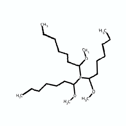 CCCCCCC(OC)P(C(CCCCCC)OC)C(CCCCCC)OC